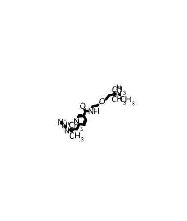 CNC(C)(C)CCOCCNC(=O)c1ccc(CC(C)(C)N=[N+]=[N-])nc1